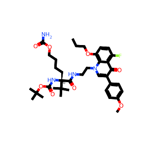 CCCOc1ccc(F)c2c(=O)c(-c3ccc(OC)cc3)cn(CCNC(=O)[C@@](CCCCOC(N)=O)(NC(=O)OC(C)(C)C)C(C)(C)C)c12